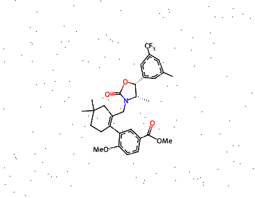 COC(=O)c1ccc(OC)c(C2=C(CN3C(=O)O[C@H](c4cc(C)cc(C(F)(F)F)c4)[C@@H]3C)CC(C)(C)CC2)c1